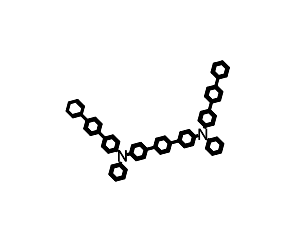 C1=CC(c2ccc(-c3ccc(N(c4ccccc4)c4ccc(-c5ccc(-c6ccc(N(c7ccccc7)c7ccc(-c8ccc(-c9ccccc9)cc8)cc7)cc6)cc5)cc4)cc3)cc2)=CCC1